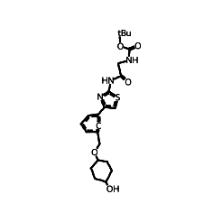 CC(C)(C)OC(=O)NCC(=O)Nc1nc(-c2cccc(COC3CCC(O)CC3)c2)cs1